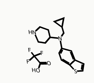 O=C(O)C(F)(F)F.c1cc2cc(N(CC3CC3)C3CCNCC3)ccc2s1